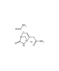 NC(=O)CC1=C[C@@H](C(N)=O)N2C[C@@H]1NC2=O